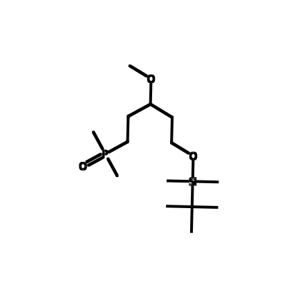 COC(CCO[Si](C)(C)C(C)(C)C)CCP(C)(C)=O